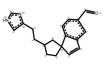 O=Cc1ccc2c(c1)C=CC21CCC(CCc2c[nH]cn2)C1